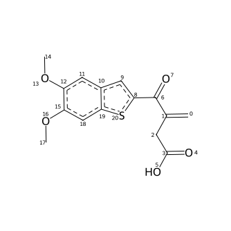 C=C(CC(=O)O)C(=O)c1cc2cc(OC)c(OC)cc2s1